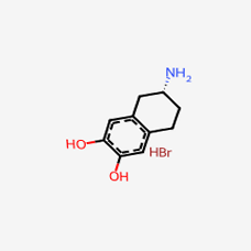 Br.N[C@@H]1CCc2cc(O)c(O)cc2C1